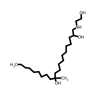 CCCCCCCCCC(C)(O)CCCCCCCCCC(O)CNCCO